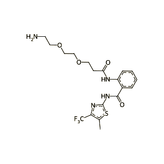 Cc1sc(NC(=O)c2ccccc2NC(=O)CCOCCOCCN)nc1C(F)(F)F